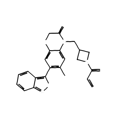 C=CC(=O)N1CC(CN2C(=O)COc3cc(-c4onc5ccccc45)c(C)cc32)C1